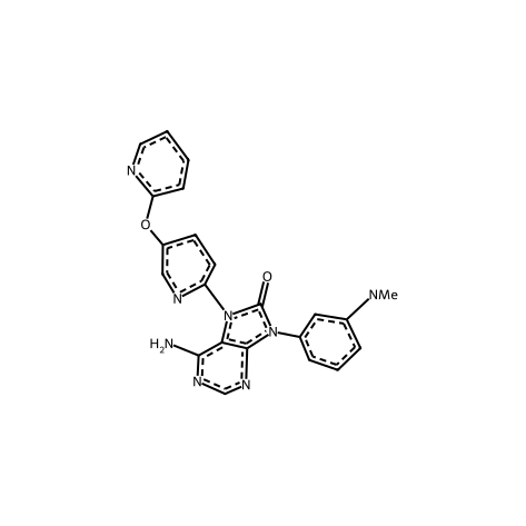 CNc1cccc(-n2c(=O)n(-c3ccc(Oc4ccccn4)cn3)c3c(N)ncnc32)c1